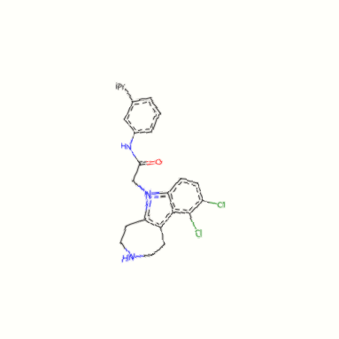 CC(C)c1cccc(NC(=O)Cn2c3c(c4c(Cl)c(Cl)ccc42)CCNCC3)c1